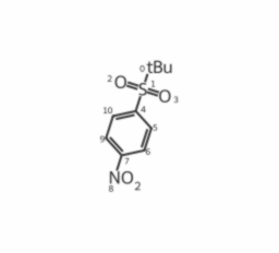 CC(C)(C)S(=O)(=O)c1ccc([N+](=O)[O-])cc1